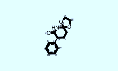 O=C1NC2(CC[C@H]1c1ccccc1)OCCO2